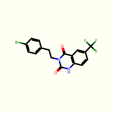 O=c1[nH]c2ccc(C(F)(F)F)cc2c(=O)n1CCc1ccc(Br)cc1